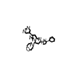 c1ccc(-c2ccn(-c3cc(N4CCOCC4)n4nc(-c5cncnc5)cc4n3)n2)cc1